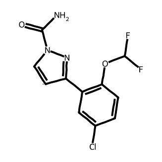 NC(=O)n1c[c]c(-c2cc(Cl)ccc2OC(F)F)n1